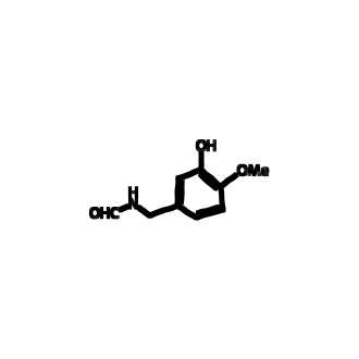 COc1ccc(CNC=O)cc1O